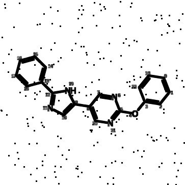 c1ccc(Oc2ncc(-c3cnc(-c4ccccc4)[nH]3)cn2)cc1